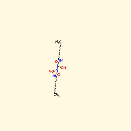 CCCCCCCCCCCCCNC(=O)CCN(CCO)CCN(CCO)CCC(=O)NCCCCCCCCCCCCC